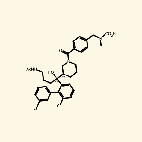 CCc1cccc(-c2c(Cl)cccc2[C@](O)(CCCNC(C)=O)[C@@H]2CCCN(C(=O)c3ccc(CN(C)C(=O)O)cc3)C2)c1